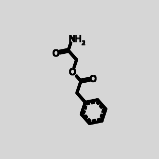 NC(=O)COC(=O)Cc1ccccc1